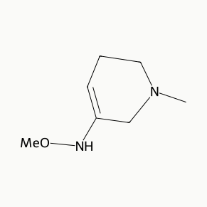 CONC1=CCCN(C)C1